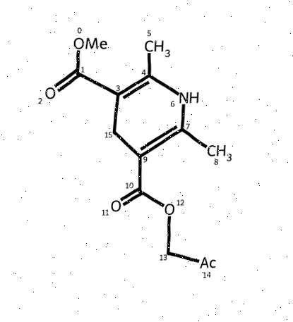 COC(=O)C1=C(C)NC(C)=C(C(=O)OCC(C)=O)C1